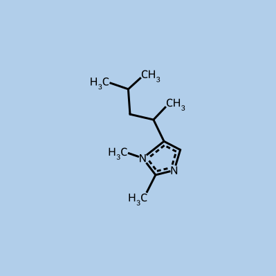 Cc1ncc(C(C)CC(C)C)n1C